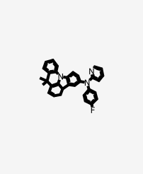 CC1(C)C2=C3C(CC=C2)c2cc(N(c4ccc(F)cc4)c4ccccn4)ccc2N3c2ccccc21